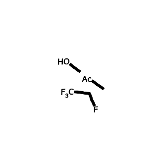 CC(C)=O.CO.FCC(F)(F)F